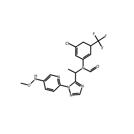 CONc1ccc(-n2ncnc2C(C)N(C=O)C2=CC(C(F)(F)F)CC(Cl)=C2)nc1